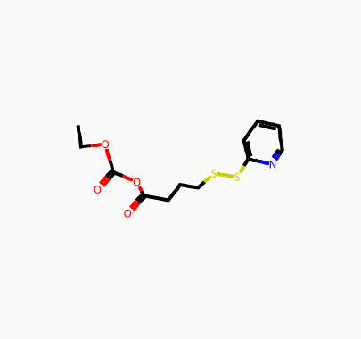 CCOC(=O)OC(=O)CCCSSc1ccccn1